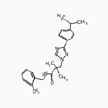 Cc1ccccc1CNC(=O)C(C)(C)Cn1nnc(-c2ccc(C(C)C)cc2)n1